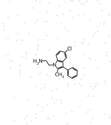 Cc1c(-c2ccccc2)c2cc(Cl)ccc2n1CCN